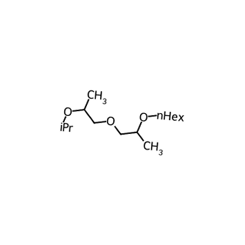 [CH2]C(C)OC(C)COCC(C)OCCCCCC